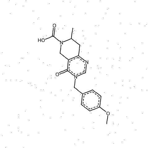 COc1ccc(Cn2cnc3c(c2=O)CN(C(=O)O)C(C)C3)cc1